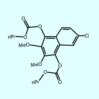 CCCOC(=O)Oc1c(OC)c(OC)c(OC(=O)OCCC)c2cc(Cl)ccc12